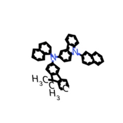 CC1(C)c2ccccc2-c2cc(N(c3ccc4c(c3)c3ccccc3n4-c3ccc4ccccc4c3)c3cccc4ccccc34)ccc21